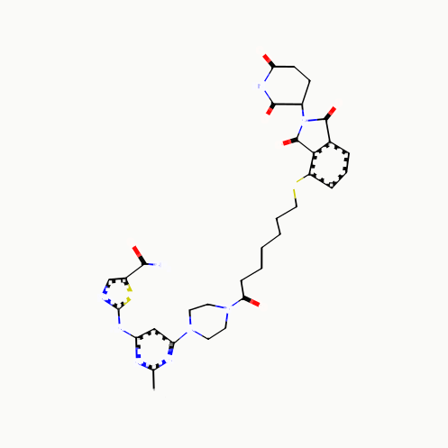 Cc1nc(Nc2ncc(C(N)=O)s2)cc(N2CCN(C(=O)CCCCCCSc3cccc4c3C(=O)N(C3CCC(=O)NC3=O)C4=O)CC2)n1